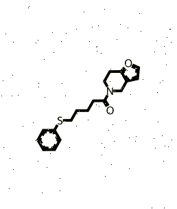 O=C(CCCCSc1ccccc1)N1CCc2occc2C1